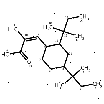 CCC(C)(C)C1CCC(C=C(C)C(=O)O)C(C(C)(C)CC)C1